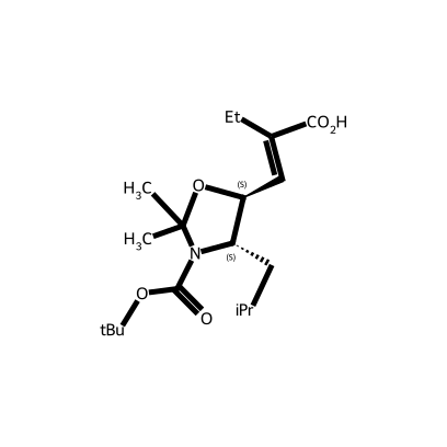 CCC(=C[C@@H]1OC(C)(C)N(C(=O)OC(C)(C)C)[C@H]1CC(C)C)C(=O)O